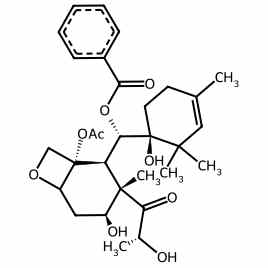 CC(=O)O[C@@]12COC1C[C@H](O)[C@@](C)(C(=O)[C@@H](C)O)[C@@H]2[C@H](OC(=O)c1ccccc1)[C@]1(O)CCC(C)=CC1(C)C